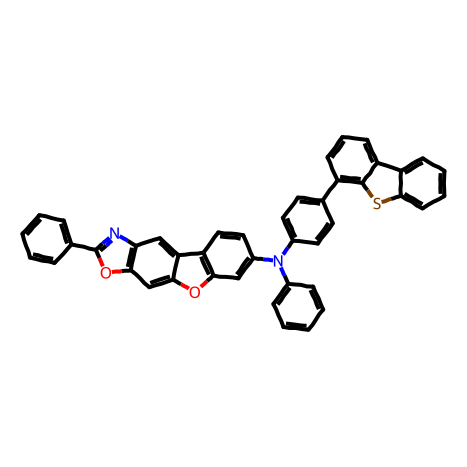 c1ccc(-c2nc3cc4c(cc3o2)oc2cc(N(c3ccccc3)c3ccc(-c5cccc6c5sc5ccccc56)cc3)ccc24)cc1